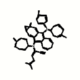 C#C/C(=C\C=C(C)C)N(c1c2c(c(N(c3ccc(C)cc3)C3CC=CC(C)=CC3)c3c1=CC1CC1(C)C=3)C=CCC=C2)C1CCCC(C)CC1